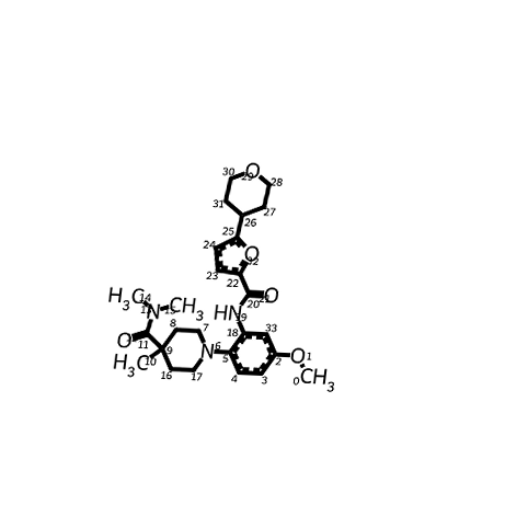 COc1ccc(N2CCC(C)(C(=O)N(C)C)CC2)c(NC(=O)c2ccc(C3CCOCC3)o2)c1